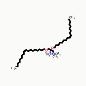 CCCCCCCC/C=C\CCCCCCCCOCC(N)(C[N+](C)(C)C)OCCCCCCCC/C=C\CCCCCCCC